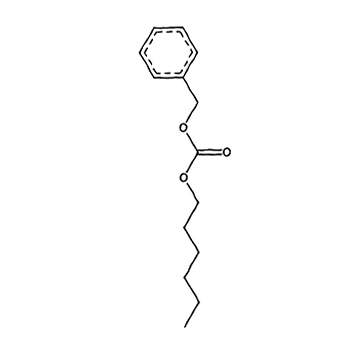 CCCCCCOC(=O)OCc1ccccc1